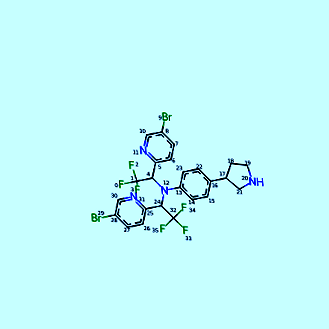 FC(F)(F)C(c1ccc(Br)cn1)N(c1ccc(C2CCNC2)cc1)C(c1ccc(Br)cn1)C(F)(F)F